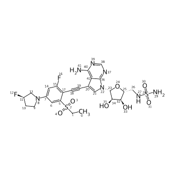 CCS(=O)(=O)c1cc(N2CC[C@@H](F)C2)cc(F)c1C#Cc1cn([C@@H]2O[C@H](CNS(N)(=O)=O)[C@@H](O)[C@H]2O)c2ncnc(N)c12